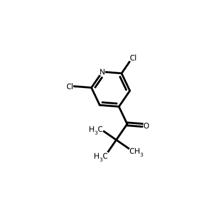 CC(C)(C)C(=O)c1cc(Cl)nc(Cl)c1